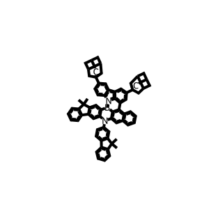 CC1(C)c2ccccc2-c2ccc(N3c4cc5c(cc4B4c6c3cc3ccccc3c6-c3cc(C67CC8CC9CC(C6)C98C7)cc6c7cc(C89CC%10CC%11CC(C8)C%11%10C9)ccc7n4c36)C(C)(C)c3ccccc3-5)cc21